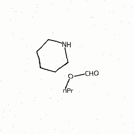 C1CCNCC1.CCCOC=O